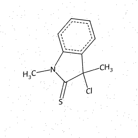 CN1C(=S)C(C)(Cl)c2ccccc21